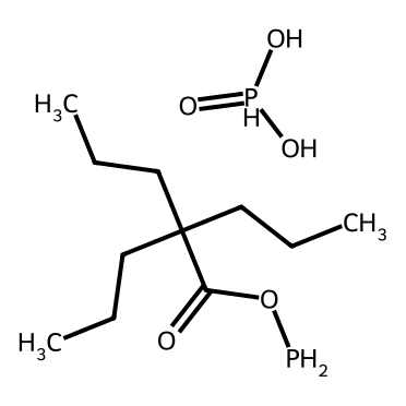 CCCC(CCC)(CCC)C(=O)OP.O=[PH](O)O